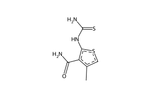 Cc1csc(NC(N)=S)c1C(N)=O